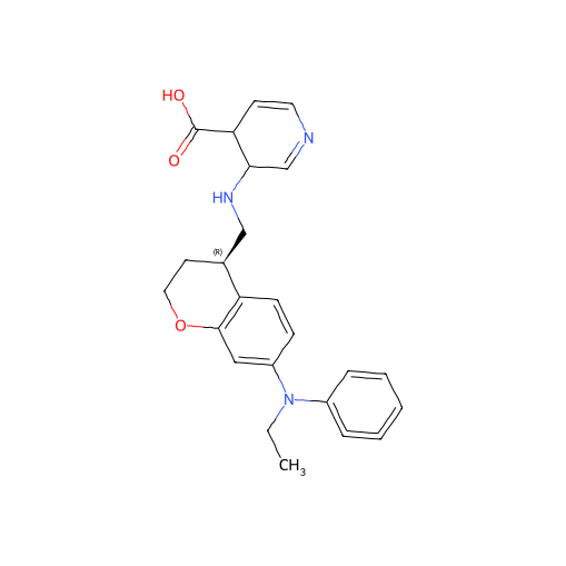 CCN(C1=C=C=CC=C1)c1ccc2c(c1)OCC[C@H]2CNC1C=NC=CC1C(=O)O